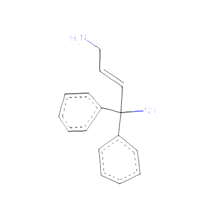 NC/C=C/C(N)(c1ccccc1)c1ccccc1